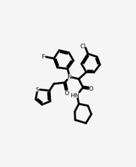 O=C(NC1CCCCC1)C(c1cccc(Cl)c1)N(C(=O)Cc1cccs1)c1cccc(F)c1